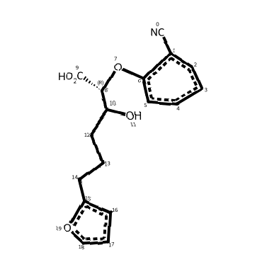 N#Cc1ccccc1O[C@@H](C(=O)O)C(O)CCCc1ccco1